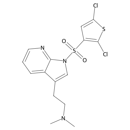 CN(C)CCc1cn(S(=O)(=O)c2cc(Cl)sc2Cl)c2ncccc12